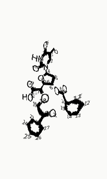 Cc1cn([C@H]2C[C@H](OC(=O)c3ccccc3)[C@@H](C(OCC(=O)c3ccccc3)C(=O)O)O2)c(=O)[nH]c1=O